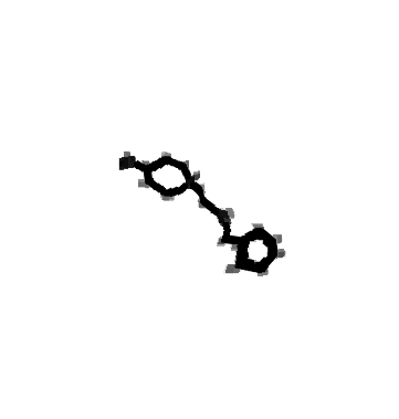 OC1CCN(CCOCc2ccccc2)CC1